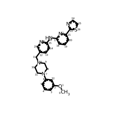 COc1cccc(N2CCN(Cc3ccc(Nc4cccc(-c5nccs5)n4)nc3)CC2)c1